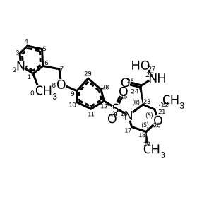 Cc1ncccc1COc1ccc(S(=O)(=O)N2C[C@H](C)O[C@@H](C)[C@@H]2C(=O)NO)cc1